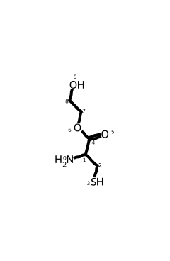 NC(CS)C(=O)OCCO